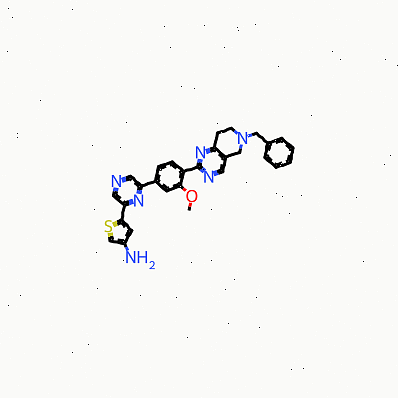 COc1cc(-c2cncc(-c3cc(N)cs3)n2)ccc1-c1ncc2c(n1)CCN(Cc1ccccc1)C2